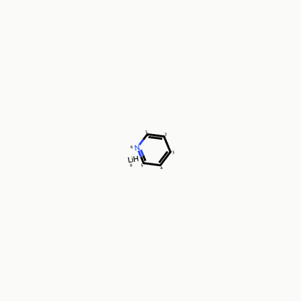 [LiH].[c]1ccccn1